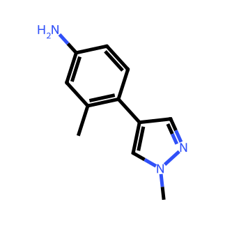 Cc1cc(N)ccc1-c1cnn(C)c1